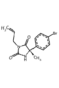 C=CCN1C(=O)N[C@@](C)(c2ccc(Br)cc2)C1=O